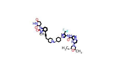 CC[C@@H]1CN(c2ccn3ncc(C(=O)Nc4cn([C@H]5CC[C@H](CN6CCC(CC#Cc7cccc8c7n(C)c(=O)n8C7CCC(=O)NC7=O)CC6)CC5)nc4C(F)F)c3n2)C[C@@H](C)O1